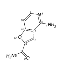 NC(=O)c1cc2c(N)nccc2o1